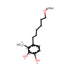 CCCCCCCCCCOCCCCCCc1ccc(O)c(O)c1C(=O)O